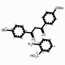 COc1ccc(C(=O)CC(=O)c2ccc(C(C)(C)C)cc2)cc1.Nc1ccccc1C(=O)O